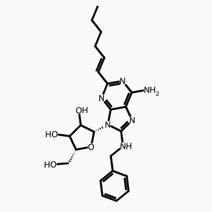 CCCCC=Cc1nc(N)c2nc(NCc3ccccc3)n([C@@H]3O[C@H](CO)C(O)C3O)c2n1